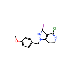 COc1ccc(CN2NC(I)c3c2ccnc3Cl)cc1